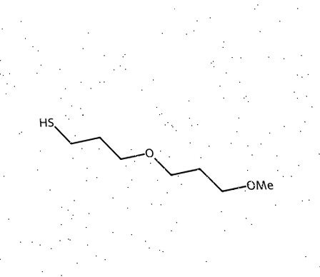 COCCCOCCCS